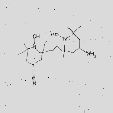 CC1(C)CC(N)CC(C)(CCC2(C)CC(C#N)CC(C)(C)N2O)N1O